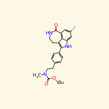 CN(CCc1ccc(-c2[nH]c3cc(F)cc4c3c2CCNC4=O)cc1)C(=O)OC(C)(C)C